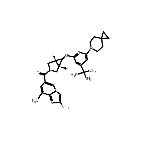 Cc1cn2cc(C(=O)N3C[C@@H]4C(Oc5cc(C(C)(C)N)cc(N6CCC7(CC6)CC7)n5)[C@@H]4C3)cc(C(F)(F)F)c2n1